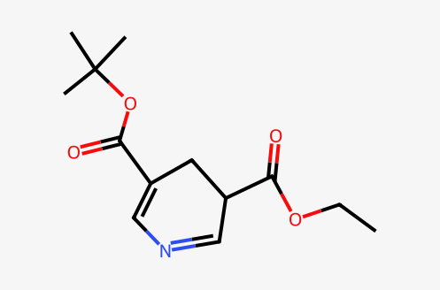 CCOC(=O)C1C=NC=C(C(=O)OC(C)(C)C)C1